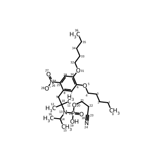 CCCCCOc1cc(CC(C)(C)N(C(C)C)P(=O)(O)OCCC#N)c([N+](=O)[O-])cc1OCCCCC